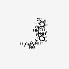 [CH2]C(C)(Nc1nc2c(CNc3nnc(C)o3)cccc2[nH]1)c1ccc(F)c(Cl)c1